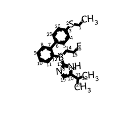 CCSc1ccc(-c2ccccc2B(CCF)c2ncc(C(C)C)[nH]2)cc1